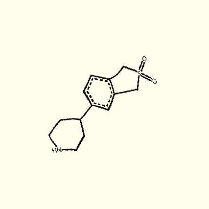 O=S1(=O)Cc2ccc(C3CCNCC3)cc2C1